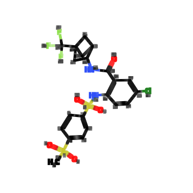 CS(=O)(=O)c1ccc(S(=O)(=O)Nc2ccc(Cl)cc2C(=O)NC2CC3(C(F)(F)F)CC2C3)cc1